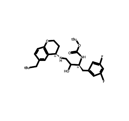 CC(C)(C)Cc1ccc2c(c1)[C@@H](NCC(O)[C@H](Cc1cc(F)cc(F)c1)NC(=O)OC(C)(C)C)CCO2